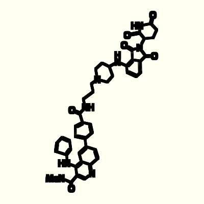 CNC(=O)c1cnc2ccc(-c3ccc(C(=O)NCCCN4CCC(Nc5cccc6c5C(=O)N(C5CCC(=O)NC5=O)C6=O)CC4)cc3)cc2c1Nc1ccccc1